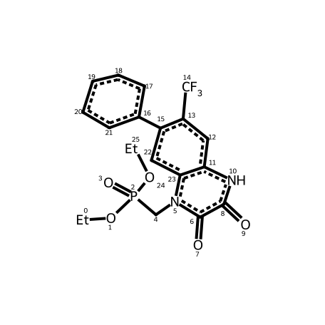 CCOP(=O)(Cn1c(=O)c(=O)[nH]c2cc(C(F)(F)F)c(-c3ccccc3)cc21)OCC